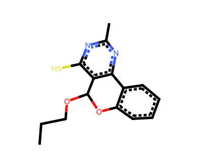 CCCOC1Oc2ccccc2-c2nc(C)nc(S)c21